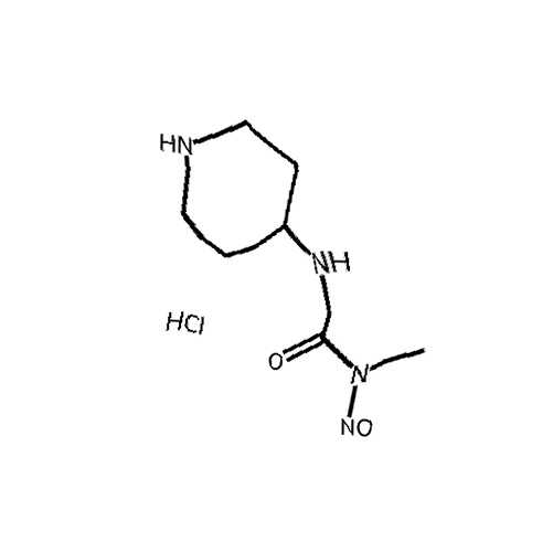 CN(N=O)C(=O)NC1CCNCC1.Cl